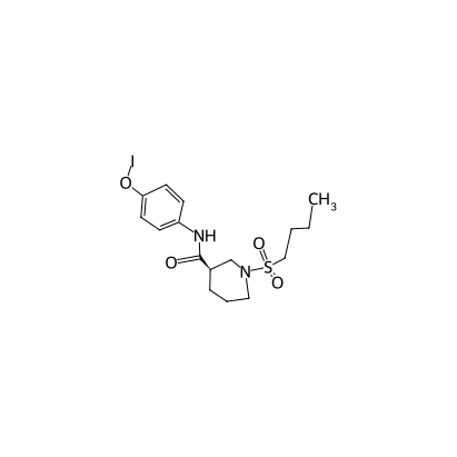 CCCCS(=O)(=O)N1CCC[C@@H](C(=O)Nc2ccc(OI)cc2)C1